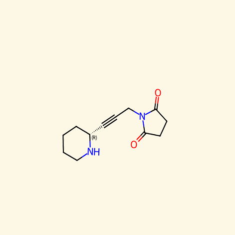 O=C1CCC(=O)N1CC#C[C@H]1CCCCN1